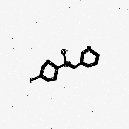 [O-][N+](=Cc1cccnc1)c1ccc(F)cc1